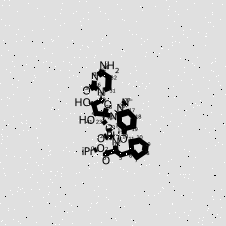 CC(C)OC(=O)C(Cc1ccccc1)N(Oc1ccccc1)[PH](=O)OC[C@@]1(N=[N+]=[N-])O[C@@H](n2ccc(N)nc2=O)[C@H](O)[C@@H]1O